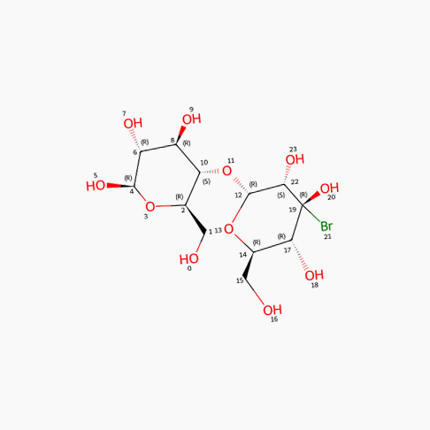 OC[C@H]1O[C@@H](O)[C@H](O)[C@@H](O)[C@@H]1O[C@H]1O[C@H](CO)[C@@H](O)[C@@](O)(Br)[C@H]1O